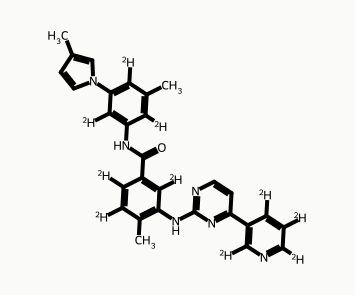 [2H]c1nc([2H])c(-c2ccnc(Nc3c([2H])c(C(=O)Nc4c([2H])c(C)c([2H])c(-n5ccc(C)c5)c4[2H])c([2H])c([2H])c3C)n2)c([2H])c1[2H]